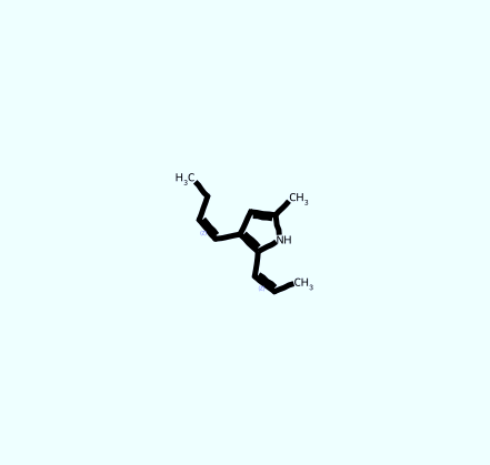 C/C=C\c1[nH]c(C)cc1/C=C\CC